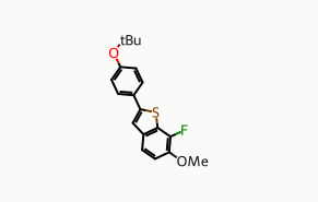 COc1ccc2cc(-c3ccc(OC(C)(C)C)cc3)sc2c1F